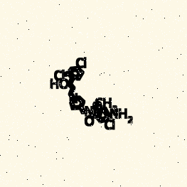 COc1cc(N)c(Cl)cc1C(=O)NCC1CCN(CCC(O)c2ccc(Cl)cc2Cl)CC1